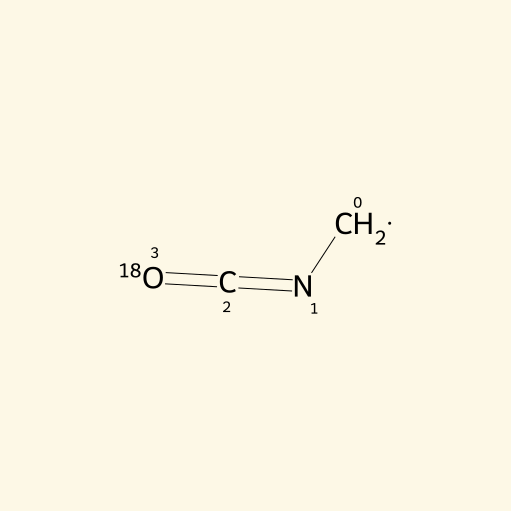 [CH2]N=C=[18O]